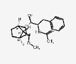 COC[C@H]1[C@H]2CC[C@@H]1N[C@H]2C(O)C(Cc1ccccc1)NC(C)=O